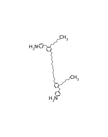 CCCCCCCc1cc(CCCCCCCCCCCCCCc2ccc(Cc3ccc(N)cc3)c(CCCCCCC)c2)ccc1Cc1ccc(N)cc1